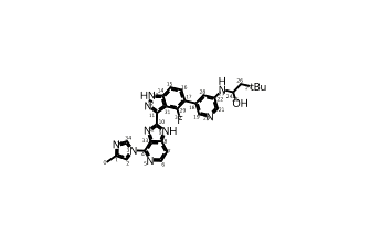 Cc1cn(-c2nccc3[nH]c(-c4n[nH]c5ccc(-c6cncc(NC(O)CC(C)(C)C)c6)c(F)c45)nc23)cn1